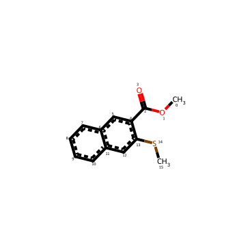 COC(=O)c1cc2ccccc2cc1SC